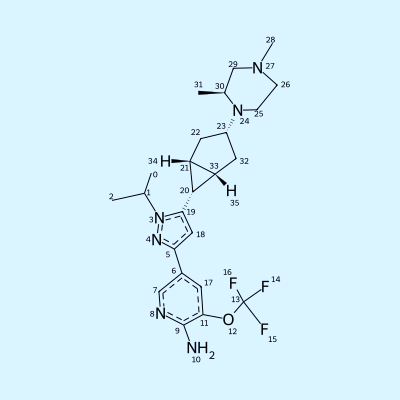 CC(C)n1nc(-c2cnc(N)c(OC(F)(F)F)c2)cc1[C@@H]1[C@@H]2C[C@H](N3CCN(C)C[C@@H]3C)C[C@@H]21